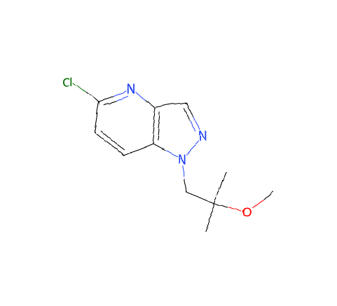 COC(C)(C)Cn1ncc2nc(Cl)ccc21